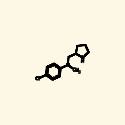 CN(CC1CCCN1)c1ccc(Cl)cc1